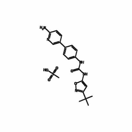 CC(C)(C)c1cc(NC(=O)Nc2ccc(-c3ccc(N)nc3)cc2)on1.CS(=O)(=O)O